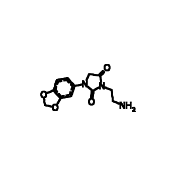 NCCN1C(=O)CN(c2ccc3c(c2)OCO3)C1=O